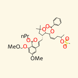 CCCOC(=O)c1c(/C=C/C[C@@H]2CC(C)(C)OC2C(/C=C\CC(C)OS(C)(=O)=O)OC(=O)c2ccccc2)cc(OC)cc1OCOC